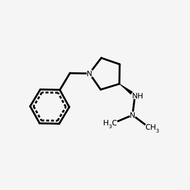 CN(C)N[C@@H]1CCN(Cc2ccccc2)C1